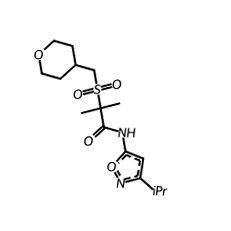 CC(C)c1cc(NC(=O)C(C)(C)S(=O)(=O)CC2CCOCC2)on1